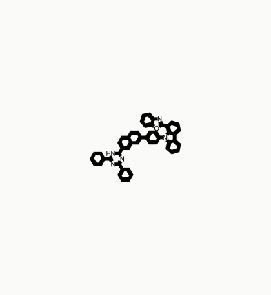 C1=CCCC(C2=NC(c3ccccc3)=NC(c3ccc4ccc(-c5ccc(-n6c7ccccc7c7cccc(-c8nc9ccccc9o8)c76)cc5)cc4c3)N2)=C1